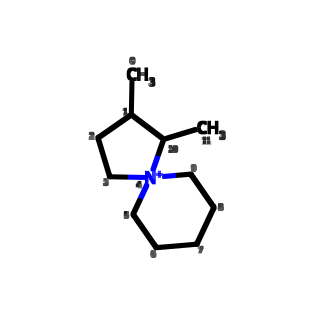 CC1CC[N+]2(CCCCC2)C1C